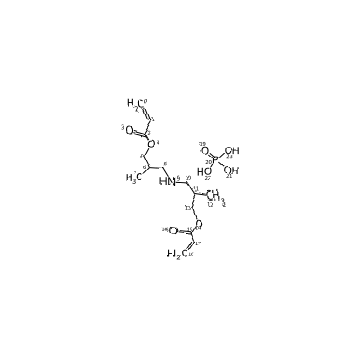 C=CC(=O)OCC(C)CNCC(C)COC(=O)C=C.O=P(O)(O)O